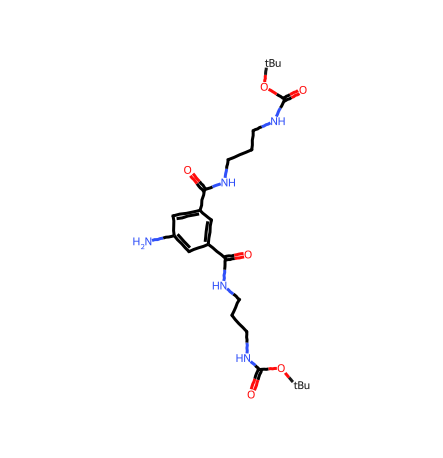 CC(C)(C)OC(=O)NCCCNC(=O)c1cc(N)cc(C(=O)NCCCNC(=O)OC(C)(C)C)c1